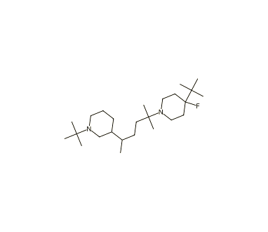 CC(CCC(C)(C)N1CCC(F)(C(C)(C)C)CC1)C1CCCN(C(C)(C)C)C1